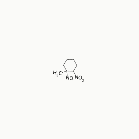 CC1(N=O)CCCCC1[N+](=O)[O-]